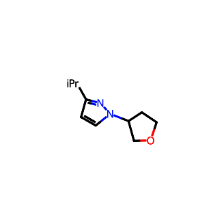 CC(C)c1ccn(C2CCOC2)n1